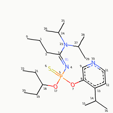 CCC/C(=N\P(=S)(Oc1cnccc1C(C)C)OC(CC)CC)N(C(C)C)C(C)C